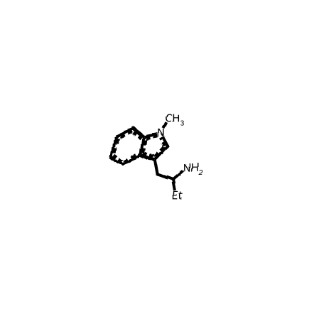 CCC(N)Cc1cn(C)c2ccccc12